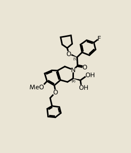 COc1ccc2c(c1OCc1ccccc1)C[C@H](C(O)O)N(C(=O)[C@@H](OC1CCCC1)c1ccc(F)cc1)C2